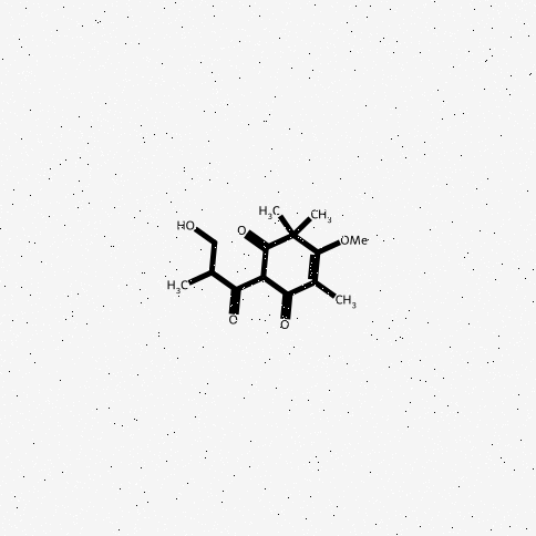 COC1=C(C)C(=O)C(C(=O)C(C)CO)C(=O)C1(C)C